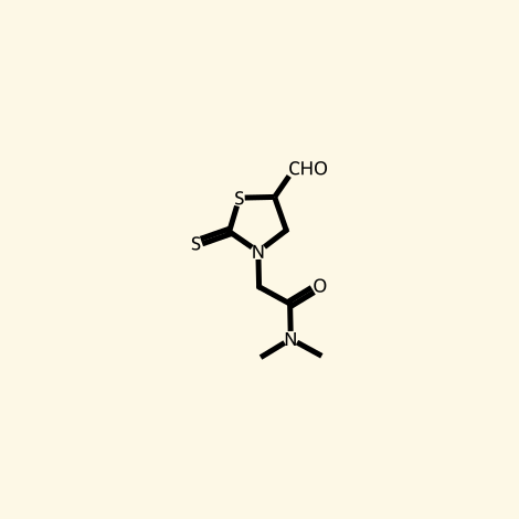 CN(C)C(=O)CN1CC(C=O)SC1=S